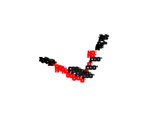 O=C([O-])[O-].O=C([O-])[O-].O=C([O-])[O-].O=C([O-])[O-].O=C([O-])[O-].O=C([O-])[O-].O=C([O-])[O-].[Al+3].[Al+3].[Al+3].[Cu+2].[Cu+2].[Cu+2].[OH-].[OH-].[OH-].[OH-].[OH-].[OH-].[OH-].[Zn+2].[Zn+2].[Zn+2]